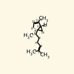 CC(C)=CCC[C@H](C)[C@@]12CC=C(C)[C@@H]1C2